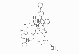 C=CCCC(=C)CC/C=C\C[C@H](CC(=C)N(C(=C)C=C)[C@H]1N=c2ccccc2=C(c2ccc(-c3ccccc3)cc2)N1)/C1=C/C(=C)C2CCC=CC2N(c2ccccc2)CCC1